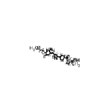 COCCOc1cc2[nH]nc(-c3cc(-c4ccc(C(=O)N5CC[C@@H]5C(C)(C)O)cc4)no3)c2cc1F